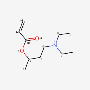 [CH2]C(CCN(CC)CC)OC(=O)C=C